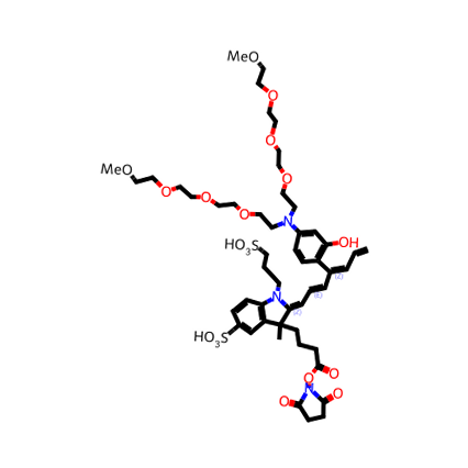 C=C/C=C(/C=C/C=C1\N(CCCS(=O)(=O)O)c2ccc(S(=O)(=O)O)cc2C1(C)CCCC(=O)ON1C(=O)CCC1=O)c1ccc(N(CCOCCOCCOCCOC)CCOCCOCCOCCOC)cc1O